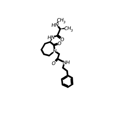 CN[C@@H](C)C(=O)N[C@@H]1CCCCN(CC(=O)NCCc2ccccc2)C1=O